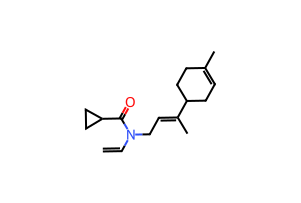 C=CN(C/C=C(\C)C1CC=C(C)CC1)C(=O)C1CC1